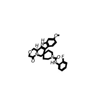 COc1ccc2c3c([nH]c2c1)[C@@H]1COCC(=O)N1CC31CCN(C(=O)Nc2ccccc2F)CC1